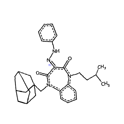 CC(C)CCn1c(=O)/c(=N\Nc2ccccc2)c(=O)n(CC23CC4CC(CC(C4)C2)C3)c2ccccc21